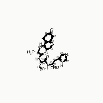 CC(C)C[C@H](NC(=O)[C@H](C)Nc1ccnc2cc(Cl)ccc12)C(=O)N[C@H](C=O)Cc1cnc[nH]1